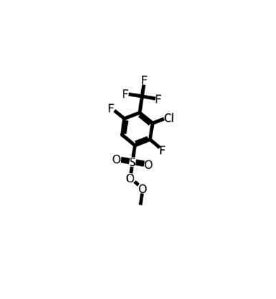 COOS(=O)(=O)c1cc(F)c(C(F)(F)F)c(Cl)c1F